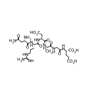 C[C@H](NC(=O)[C@H](CC(=O)O)NC(=O)[C@H](CCCNC(=N)N)NC(=O)[C@@H](N)CC(N)=O)C(=O)NCC(=O)N[C@@H](CCC(=O)O)C(=O)O